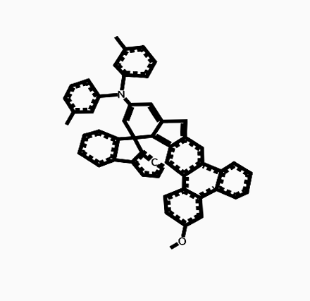 COc1ccc2c(c1)c1ccccc1c1cc3c(cc21)=C1C(=CC(N(c2cccc(C)c2)c2cccc(C)c2)=CC12c1ccccc1-c1ccccc12)C=3